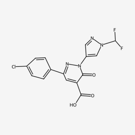 O=C(O)c1cc(-c2ccc(Cl)cc2)nn(-c2cnn(C(F)F)c2)c1=O